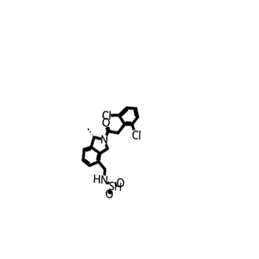 C[C@H]1c2cccc(CN[SH](=O)=O)c2CN1C(=O)Cc1c(Cl)cccc1Cl